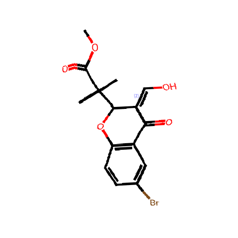 COC(=O)C(C)(C)C1Oc2ccc(Br)cc2C(=O)/C1=C\O